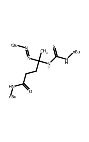 CCCCNC(=O)CCC(C)(N=NC(C)(C)C)NC(=S)NCCCC